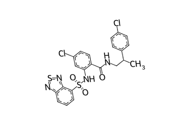 CC(CNC(=O)c1ccc(Cl)cc1NS(=O)(=O)c1cccc2nsnc12)c1ccc(Cl)cc1